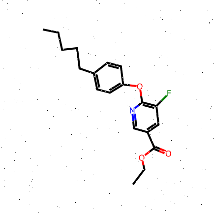 CCCCCc1ccc(Oc2ncc(C(=O)OCC)cc2F)cc1